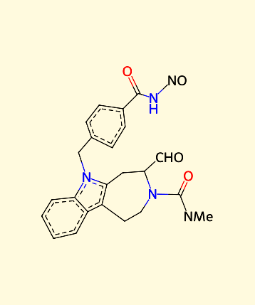 CNC(=O)N1CCc2c(n(Cc3ccc(C(=O)NN=O)cc3)c3ccccc23)CC1C=O